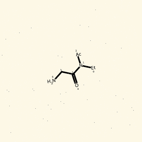 [CH2]CN(C(C)=O)C(=O)CN